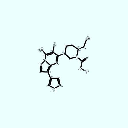 CC(C)(C)OC(=O)N1C[C@@H](c2nc3c(-c4cn[nH]c4)cnn3c(N)c2Br)CC[C@H]1CO